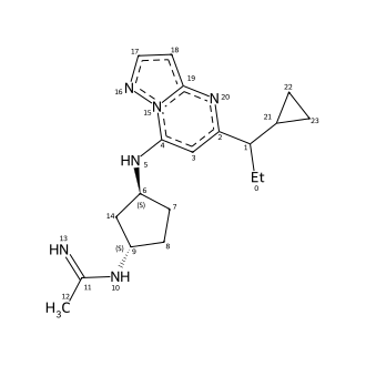 CCC(c1cc(N[C@H]2CC[C@H](NC(C)=N)C2)n2nccc2n1)C1CC1